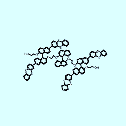 OCCOc1ccc2cc(-c3ccc4c(c3)Sc3ccccc3S4)ccc2c1-c1c(OCCOc2ccc3ccccc3c2-c2c(OCCOc3ccc4cc(-c5ccc6c(c5)Sc5ccccc5S6)ccc4c3-c3c(OCCO)ccc4cc(-c5ccc6c(c5)Sc5ccccc5S6)ccc34)ccc3ccccc23)ccc2cc(-c3ccc4c(c3)Sc3ccccc3S4)ccc12